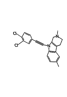 Cc1ccc2c(c1)c1c(n2C#Cc2ccc(Cl)c(Cl)c2)CN(C)CC1